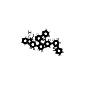 CC1(C)c2ccccc2-c2ccc(-c3ccccc3-c3cccc4c5ccccc5n(-c5cccc(-c6cccc7c6sc6ccccc67)c5)c34)cc21